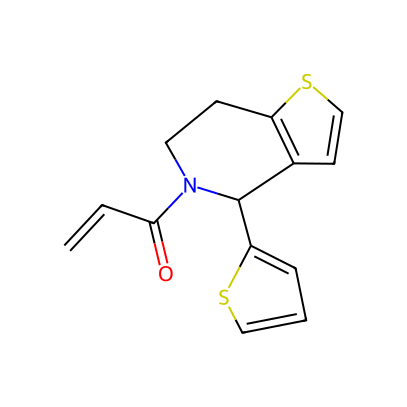 C=CC(=O)N1CCc2sccc2C1c1cccs1